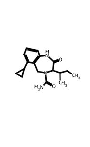 CCC(C)C1C(=O)Nc2cccc(C3CC3)c2CN1C(N)=O